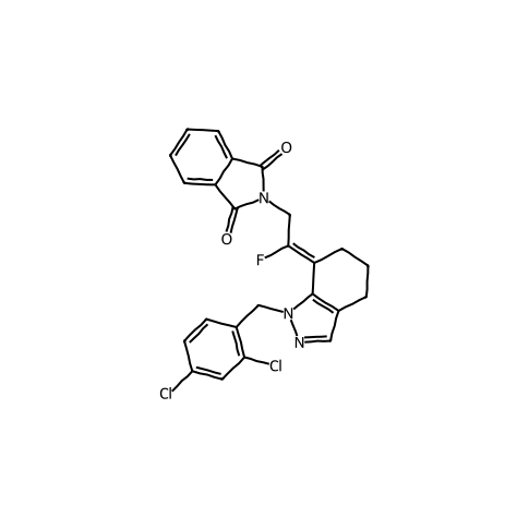 O=C1c2ccccc2C(=O)N1C/C(F)=C1\CCCc2cnn(Cc3ccc(Cl)cc3Cl)c21